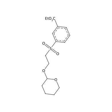 CCOC(=O)c1cccc(S(=O)(=O)CCOC2CCCCO2)c1